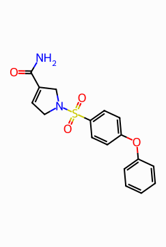 NC(=O)C1=CCN(S(=O)(=O)c2ccc(Oc3ccccc3)cc2)C1